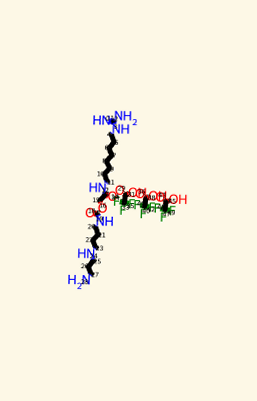 N=C(N)NCCCCCCCCNC(=O)COC(=O)NCCCCNCCCN.O=C(O)C(F)(F)F.O=C(O)C(F)(F)F.O=C(O)C(F)(F)F